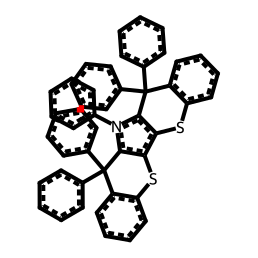 c1ccc(-n2c3c(c4c2C(c2ccccc2)(c2ccccc2)c2ccccc2S4)Sc2ccccc2C3(c2ccccc2)c2ccccc2)cc1